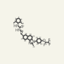 Cc1cccc(C)c1NC(=S)NN=Cc1ccc2c(ccc3c2nc(C)n3-c2ccc(OC(F)C(F)F)cc2)c1